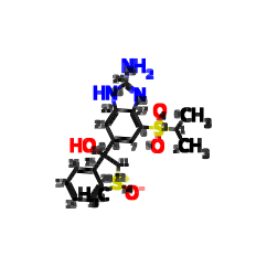 CC(C)S(=O)(=O)c1cc(C(O)(C[S+](C)[O-])c2ccccc2)cc2[nH]c(N)nc12